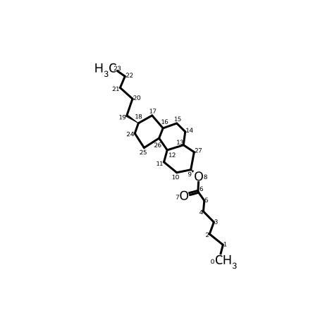 CCCCCCC(=O)O[C@@H]1CCC2C(CCC3C[C@H](CCCCC)CCC32)C1